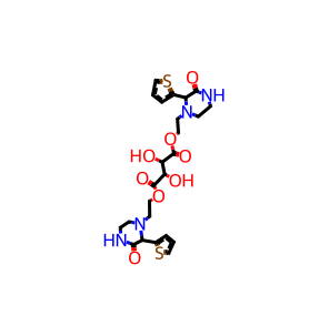 O=C(OCCN1CCNC(=O)C1c1cccs1)C(O)C(O)C(=O)OCCN1CCNC(=O)C1c1cccs1